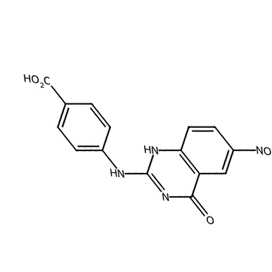 O=C(O)c1ccc(Nc2nc(=O)c3cc([N+](=O)[O-])ccc3[nH]2)cc1